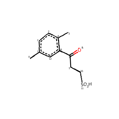 Cc1ccc(C)c(C(=O)CCS(=O)(=O)O)c1